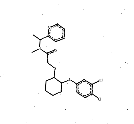 CC(c1ccccn1)N(C)C(=O)CSC1CCCCC1Sc1ccc(Cl)c(Cl)c1